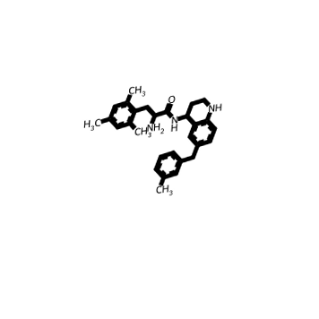 Cc1cccc(Cc2ccc3c(c2)C(NC(=O)C(N)Cc2c(C)cc(C)cc2C)CCN3)c1